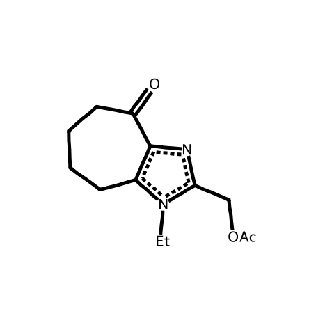 CCn1c(COC(C)=O)nc2c1CCCCC2=O